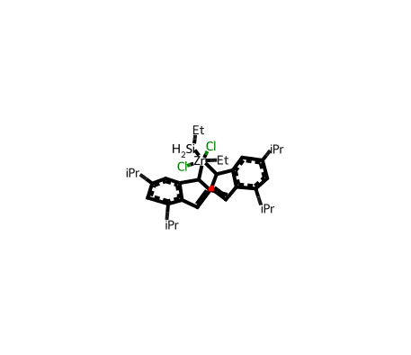 CC[SiH2][Zr]([Cl])([Cl])([CH2]C)([CH]1C(C)=Cc2c(C(C)C)cc(C(C)C)cc21)[CH]1C(C)=Cc2c(C(C)C)cc(C(C)C)cc21